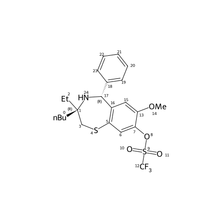 CCCC[C@]1(CC)CSc2cc(OS(=O)(=O)C(F)(F)F)c(OC)cc2[C@@H](c2ccccc2)N1